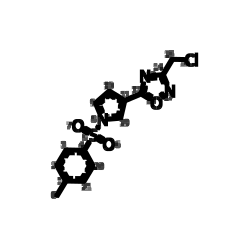 Cc1ccc(S(=O)(=O)n2ccc(-c3nc(CCl)no3)c2)cc1